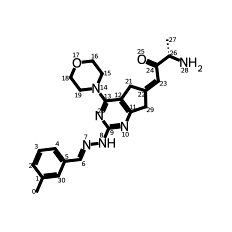 Cc1cccc(/C=N/Nc2nc3c(c(N4CCOCC4)n2)C/C(=C\C(=O)[C@H](C)N)C3)c1